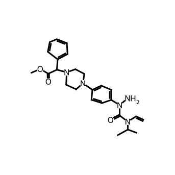 C=CN(C(=O)N(N)c1ccc(N2CCN(C(C(=O)OC)c3ccccc3)CC2)cc1)C(C)C